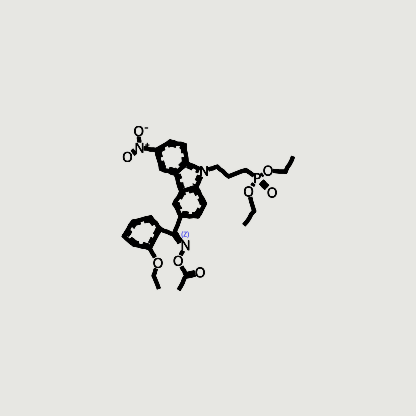 CCOc1ccccc1/C(=N\OC(C)=O)c1ccc2c(c1)c1cc([N+](=O)[O-])ccc1n2CCCP(=O)(OCC)OCC